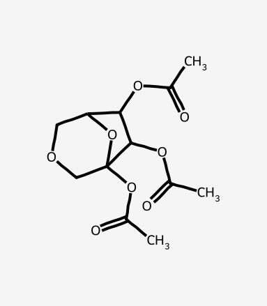 CC(=O)OC1C2COCC(OC(C)=O)(O2)C1OC(C)=O